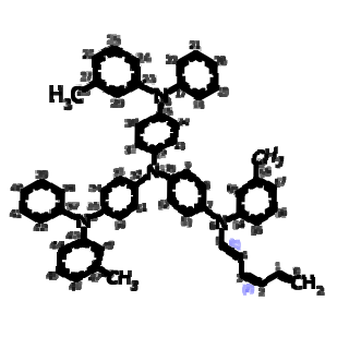 C=C/C=C\C=C\N(c1ccc(N(c2ccc(N(c3ccccc3)c3cccc(C)c3)cc2)c2ccc(N(c3ccccc3)c3cccc(C)c3)cc2)cc1)c1cccc(C)c1